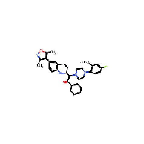 COc1cc(F)ccc1N1CCN(C(C(=O)C2CCCCC2)C2CCc3cc(-c4c(C)noc4C)ccc3N2)CC1